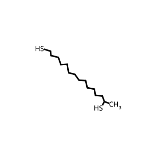 CC(S)CCCCCCCCCCCCCS